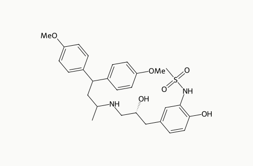 COc1ccc(C(CC(C)NC[C@H](O)Cc2ccc(O)c(NS(C)(=O)=O)c2)c2ccc(OC)cc2)cc1